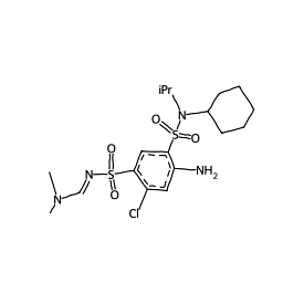 CC(C)N(C1CCCCC1)S(=O)(=O)c1cc(S(=O)(=O)N=CN(C)C)c(Cl)cc1N